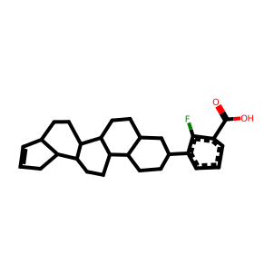 O=C(O)c1cccc(C2CCC3C(CCC4C3CCC3C5CC=CC5CCC34)C2)c1F